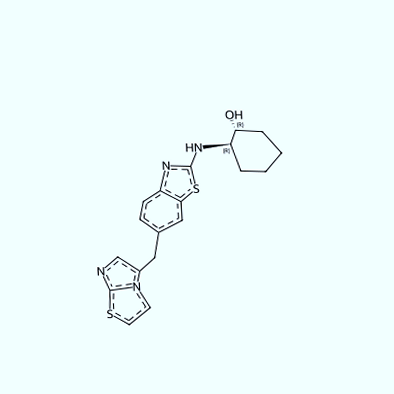 O[C@@H]1CCCC[C@H]1Nc1nc2ccc(Cc3cnc4sccn34)cc2s1